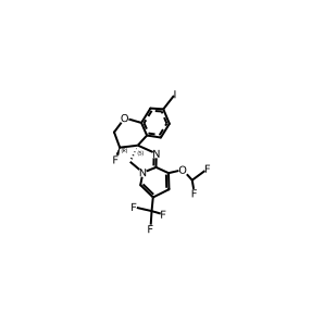 FC(F)OC1=CC(C(F)(F)F)=CN2C[C@@]3(N=C12)c1ccc(I)cc1OC[C@@H]3F